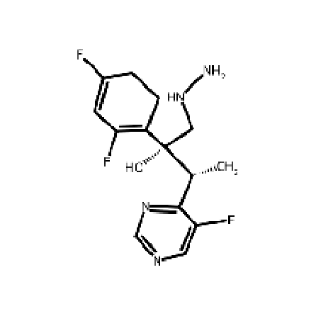 C[C@H](c1ncncc1F)[C@](O)(CNN)C1=C(F)C=C(F)CC1